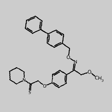 COC/C(=N/OCc1ccc(-c2ccccc2)cc1)c1ccc(OCC(=S)N2CCCCC2)cc1